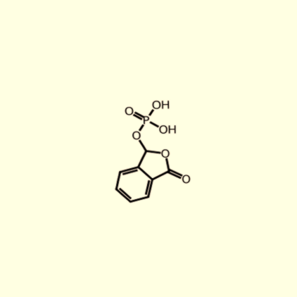 O=C1OC(OP(=O)(O)O)c2ccccc21